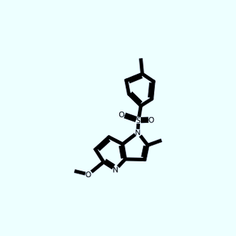 COc1ccc2c(cc(C)n2S(=O)(=O)c2ccc(C)cc2)n1